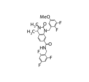 COc1cc(F)c(F)c(CN2C(=O)N(C)C(C)c3ccc(C(=O)NCc4c(F)cc(F)cc4F)cc32)c1